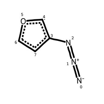 [N-]=[N+]=Nc1[c]occ1